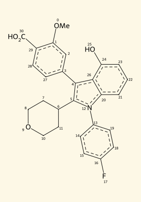 COc1cc(-c2c(C3CCOCC3)n(-c3ccc(F)cc3)c3cccc(O)c23)ccc1C(=O)O